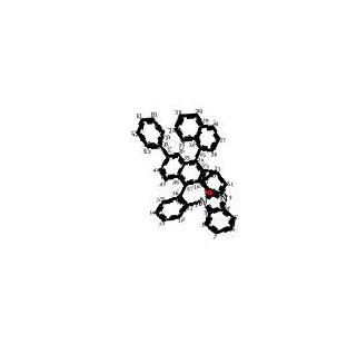 CCc1nc2ccccc2n1-c1ccccc1-c1c2ccccc2c(-c2cccc3ccccc23)c2cc(-c3ccccc3)ccc12